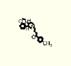 Cc1ccc(C(=O)CCCN2CC[C@H]3[C@@H](C2)c2cccc4c2N3CCO4)cc1